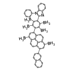 Bc1c(B)c(-c2nc3ccccc3n2-c2ccccc2)c(B)c(B)c1-c1cc(B)c2ccc3c(-c4ccc5ccccc5c4)cc(B)c4ccc1c2c43